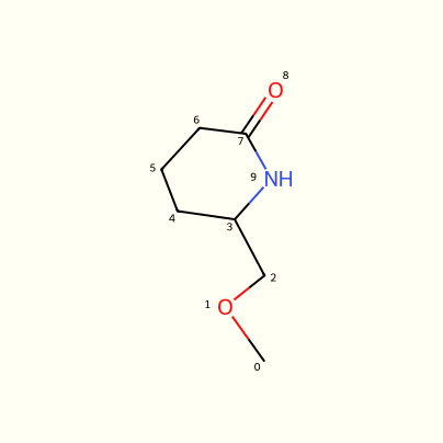 COCC1CCCC(=O)N1